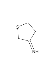 N=C1CCSC1